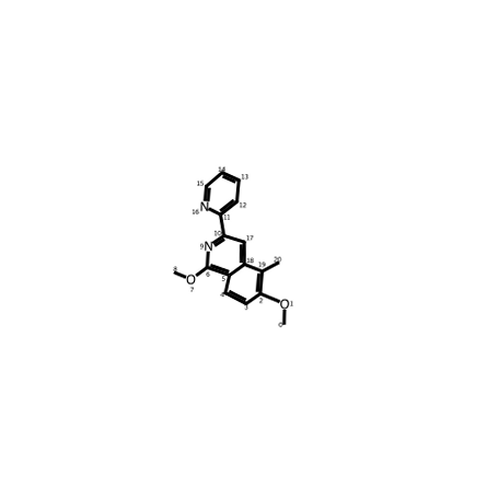 COc1ccc2c(OC)nc(-c3ccccn3)cc2c1C